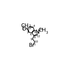 COc1ccc2c(c1)c(CCBr)cn2C